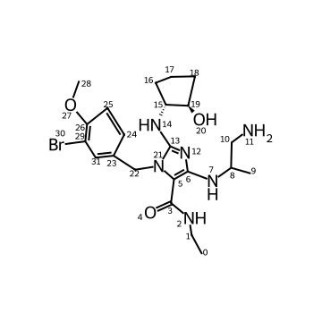 CCNC(=O)c1c(NC(C)CN)nc(N[C@@H]2CCC[C@H]2O)n1Cc1ccc(OC)c(Br)c1